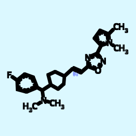 Cc1ccc(-c2noc(/C=C/C3CCC(C(c4ccc(F)cc4)N(C)C)CC3)n2)n1C